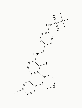 CC(F)(F)S(=O)(=O)Nc1ccc(CNc2ncnc(N3CCOCC3c3ccc(C(F)(F)F)cc3)c2F)cc1